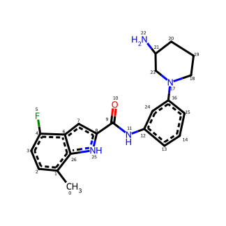 Cc1ccc(F)c2cc(C(=O)Nc3cccc(N4CCCC(N)C4)c3)[nH]c12